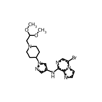 COC(CN1CCC(n2cc(Nc3ncc(Br)n4ccnc34)cn2)CC1)OC